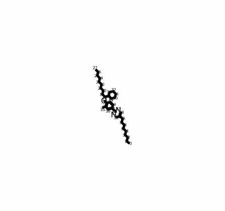 CCCCCCCCCc1cnc(-c2ccc(OC(CCCCCCCCC)C3CCCCC3)c(C)c2)nc1